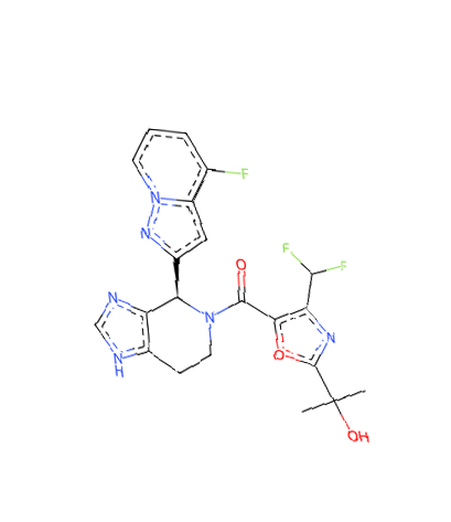 CC(C)(O)c1nc(C(F)F)c(C(=O)N2CCc3[nH]cnc3[C@H]2c2cc3c(F)cccn3n2)o1